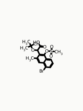 Cc1cc2c(Br)cccc2c(OS(C)(=O)=O)c1C(OC(C)(C)C)C(=O)O